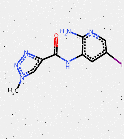 Cn1cc(C(=O)Nc2cc(I)cnc2N)nn1